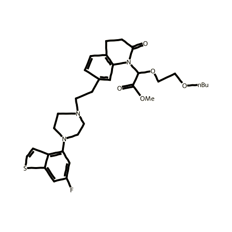 CCCCOCCOC(C(=O)OC)N1C(=O)CCc2ccc(CCN3CCN(c4cc(F)cc5sccc45)CC3)cc21